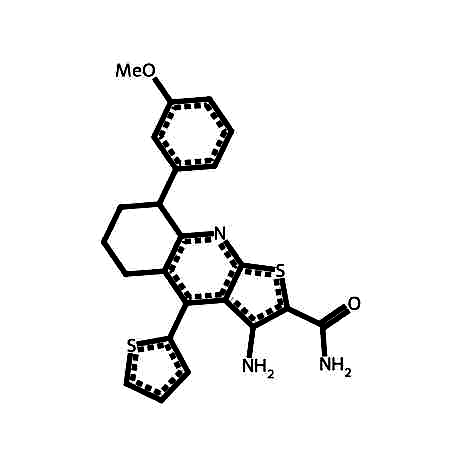 COc1cccc(C2CCCc3c2nc2sc(C(N)=O)c(N)c2c3-c2cccs2)c1